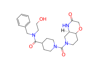 O=C1COC2CCN(C(=O)N3CCC(C(=O)N(CCO)Cc4ccccc4)CC3)C[C@H]2N1